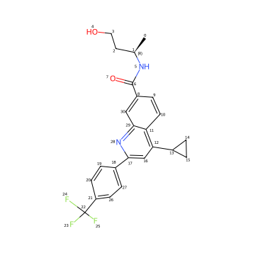 C[C@H](CCO)NC(=O)c1ccc2c(C3CC3)cc(-c3ccc(C(F)(F)F)cc3)nc2c1